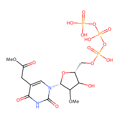 COC(=O)Cc1cn([C@@H]2O[C@H](COP(=O)(O)OP(=O)(O)OP(=O)(O)O)C(O)C2OC)c(=O)[nH]c1=O